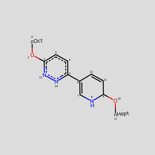 CCCCCCCCOc1ccc(C2=CNC(OCCCCCCC)C=C2)nn1